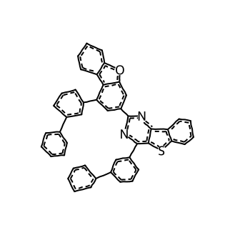 c1ccc(-c2cccc(-c3nc(-c4cc(-c5cccc(-c6ccccc6)c5)c5c(c4)oc4ccccc45)nc4c3sc3ccccc34)c2)cc1